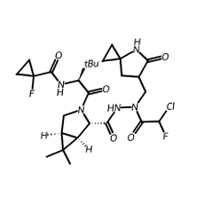 CC(C)(C)[C@H](NC(=O)C1(F)CC1)C(=O)N1C[C@H]2[C@@H]([C@H]1C(=O)NN(CC1CC3(CC3)NC1=O)C(=O)C(F)Cl)C2(C)C